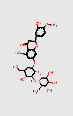 COc1ccc(C2CC(=O)c3c(O)cc(O[C@@H]4C[C@H](CO)[C@@H](O)[C@H](O)[C@H]4O[C@H]4O[C@H](C)[C@@H](O)[C@H](O)[C@@H]4O)cc3O2)cc1O